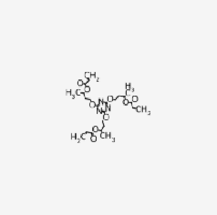 C=CC(=O)OC(C)CCOc1nc(OCCC(C)OC(=O)C=C)nc(OCCC(C)OC(=O)C=C)n1